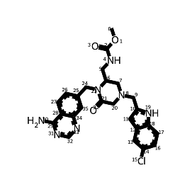 COC(=O)NCC1CN(Cc2cc3cc(Cl)ccc3[nH]2)CC(=O)N1Cc1ccc2c(N)ncnc2c1